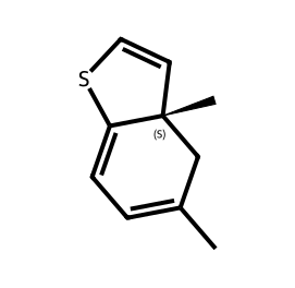 CC1=CC=C2SC=C[C@]2(C)C1